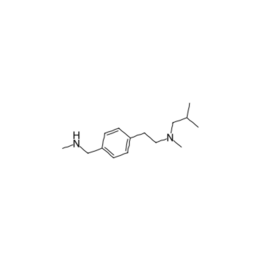 CNCc1ccc(CCN(C)CC(C)C)cc1